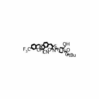 CC(C)(C)OC(=O)N1CCN(C2=NC(=O)C(=Cc3ccc4c(c3)c(C#N)nn4Cc3ccc(C(F)(F)F)cc3C(F)(F)F)S2)C[C@H]1CO